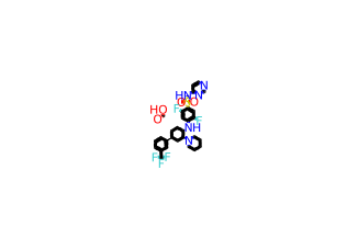 O=CO.O=S(=O)(Nc1ccncn1)c1cc(F)c(N[C@H]2CC[C@H](c3cccc(C(F)(F)F)c3)C[C@@H]2N2CCCCC2)cc1F